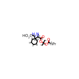 CCCC(=O)OC(C)(C)OC(=O)C(N)C1(CC(=O)O)CCCCC1